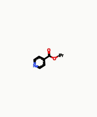 [CH2][C@H](C)OC(=O)c1ccncc1